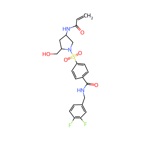 C=CC(=O)NC1CC(CO)N(S(=O)(=O)c2ccc(C(=O)NCc3ccc(F)c(F)c3)cc2)C1